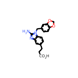 Nc1nc2cc(CCC(=O)O)ccc2n1Cc1ccc2c(c1)OCO2